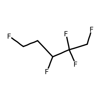 FCCC(F)C(F)(F)CF